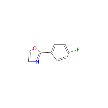 Fc1ccc(-c2ncco2)cc1